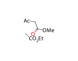 CCOC(C)=O.COC(=O)CC(C)=O